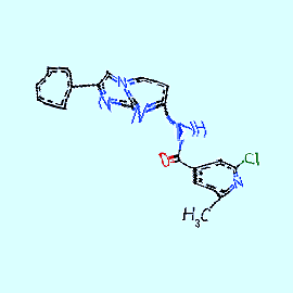 Cc1cc(C(=O)Nc2ccn3cc(-c4ccccc4)nc3n2)cc(Cl)n1